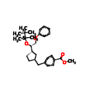 COC(=O)c1ccc(CC2CC[C@H]([C@@H](COc3ccccc3)O[Si](C)(C)C(C)(C)C)C2)cc1